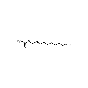 CCCCCCC/C=C/COC(C)=O